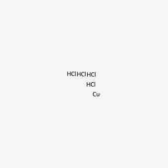 Cl.Cl.Cl.Cl.[Cu]